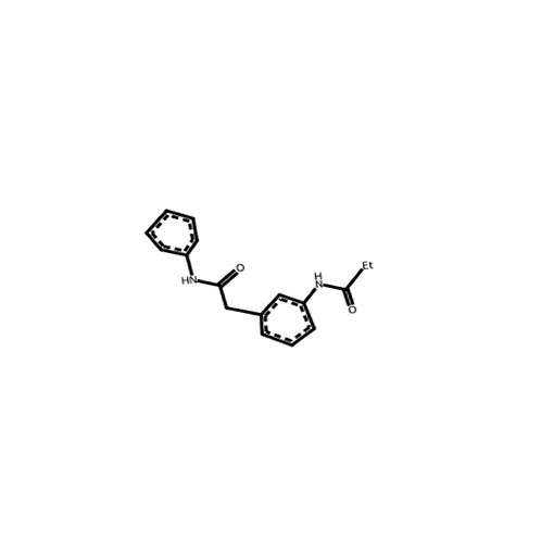 CCC(=O)Nc1cccc(CC(=O)Nc2ccccc2)c1